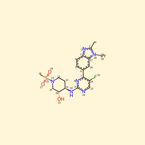 Cc1nc2ccc(-c3nc(N[C@@H]4CCN(S(C)(=O)=O)C[C@H]4O)ncc3F)cc2n1C(C)C